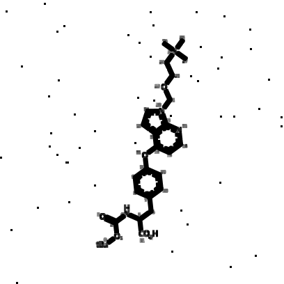 CC(C)(C)OC(=O)NC(Cc1ccc(Oc2ccnc3c2ccn3COCCS(C)(C)C)cc1)C(=O)O